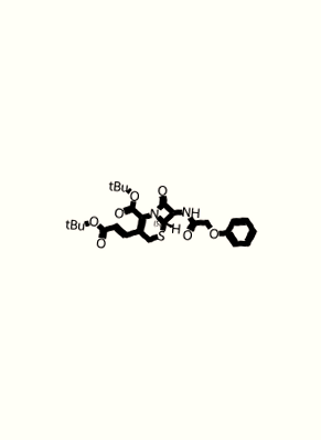 CC(C)(C)OC(=O)C=CC1=C(C(=O)OC(C)(C)C)N2C(=O)C(NC(=O)COc3ccccc3)[C@@H]2SC1